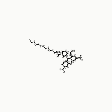 CCCOCCOCCOCCNC(=O)c1ccc(C(=O)O)c(-c2c3ccc(=[N+](C)C)cc-3oc3cc(N(C)C)ccc23)c1